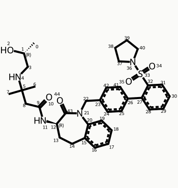 C[C@@H](O)CNC(C)(C)CC(=O)N[C@@H]1CCc2ccccc2N(Cc2ccc(-c3ccccc3S(=O)(=O)N3CCCC3)cc2)C1=O